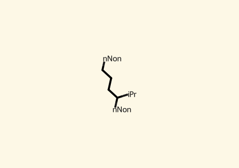 [CH2]CCCCCCCCC(CCCCCCCCC[CH]CC)C(C)C